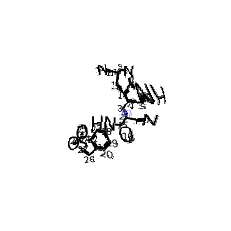 N#C/C(=C\c1c[nH]c2ncc(C#N)cc12)C(=O)Nc1ccc2c(c1)S(=O)(=O)C=C2